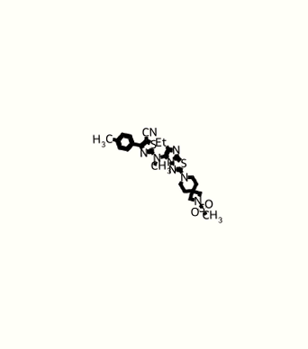 CCc1nc2sc(N3CCC4(CC3)CN(S(C)(=O)=O)C4)nn2c1N(C)c1nc(-c2ccc(C)cc2)c(C#N)s1